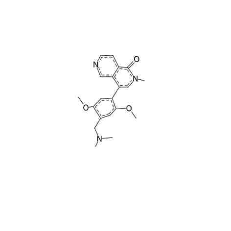 COc1cc(-c2cn(C)c(=O)c3ccncc23)c(OC)cc1CN(C)C